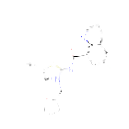 CC(C)(C)c1cn(C[C@H]2CCCO2)/c(=N/C(=O)c2cc(Cl)cc3cccnc23)s1